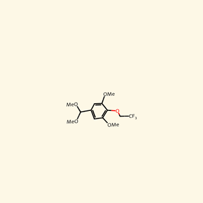 COc1cc(C(OC)OC)cc(OC)c1OCC(F)(F)F